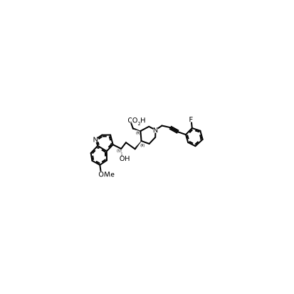 COc1ccc2nccc([C@@H](O)CC[C@@H]3CCN(CC#Cc4ccccc4F)C[C@@H]3CC(=O)O)c2c1